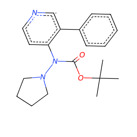 CC(C)(C)OC(=O)N(c1ccn[c]c1-c1ccccc1)N1CCCC1